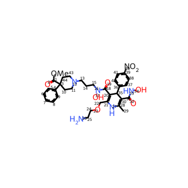 COC(=O)C1(c2ccccc2)CCN(CCCN(O)C(=O)C2=C(COCCN)NC(C)=C(C(=O)NO)C2c2ccc([N+](=O)[O-])cc2)CC1